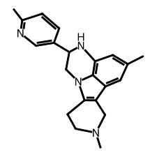 Cc1cc2c3c(c1)c1c(n3CC(c3ccc(C)nc3)N2)CCN(C)C1